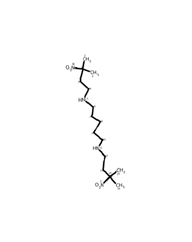 CC(C)(CCNCCCCCNCCC(C)(C)[N+](=O)[O-])[N+](=O)[O-]